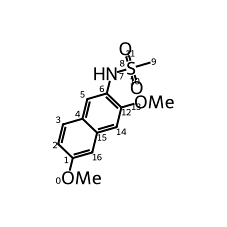 COc1ccc2cc(NS(C)(=O)=O)c(OC)cc2c1